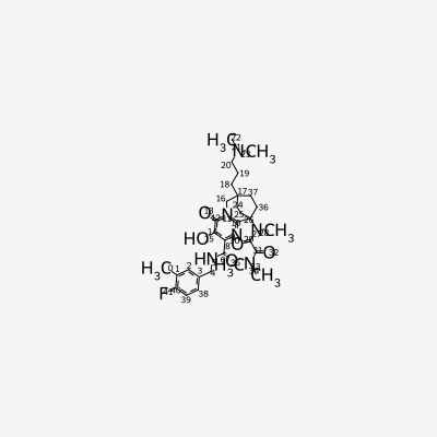 Cc1cc(CNC(=O)c2nc3n(c(=O)c2O)CC2(CCCN(C)C)CCC3(N(C)C(=O)C(=O)N(C)C)CC2)ccc1F